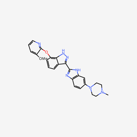 COc1cccnc1Oc1cccc2c(-c3nc4ccc(N5CCN(C)CC5)cc4[nH]3)n[nH]c12